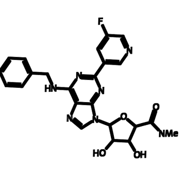 CNC(=O)C1OC(n2cnc3c(NCc4ccccc4)nc(-c4cncc(F)c4)nc32)C(O)C1O